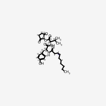 CCCCCC/C=C\CC(=O)N[C@@H](Cc1ccc(O)cc1)C(=O)N[C@H](C(=O)ON1C(=O)CCC1=O)C(C)C